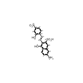 Nc1ccc2c(O)c(N=Nc3ccc([N+](=O)[O-])cc3O)c(S(=O)(=O)O)cc2c1